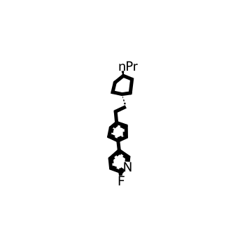 CCC[C@H]1CC[C@H](CCc2ccc(-c3ccc(F)nc3)cc2)CC1